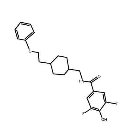 O=C(NCC1CCC(CCOc2ccccc2)CC1)c1cc(F)c(O)c(F)c1